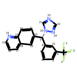 FC(F)(F)c1cccc([C@H](c2ccc3ncccc3c2)n2cncn2)c1